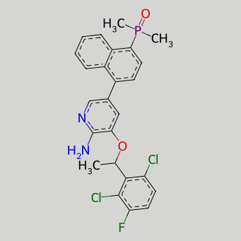 CC(Oc1cc(-c2ccc(P(C)(C)=O)c3ccccc23)cnc1N)c1c(Cl)ccc(F)c1Cl